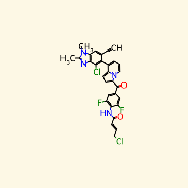 C#Cc1cc2c(nc(C)n2C)c(Cl)c1-c1cccn2c(C(=O)c3cc(F)c(NC(=O)/C=C/CCl)c(F)c3)ccc12